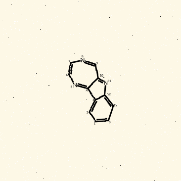 c1ccc2c3nccncc-3nc2c1